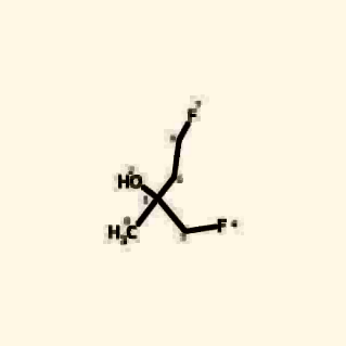 CC(O)(CF)CCF